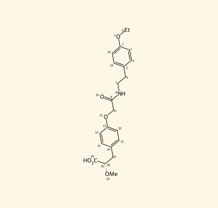 CCOc1ccc(CCNC(=O)COc2ccc(C[C@H](OC)C(=O)O)cc2)cc1